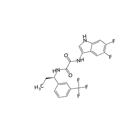 CC[C@@H](NC(=O)C(=O)Nc1c[nH]c2cc(F)c(F)cc12)c1cccc(C(F)(F)F)c1